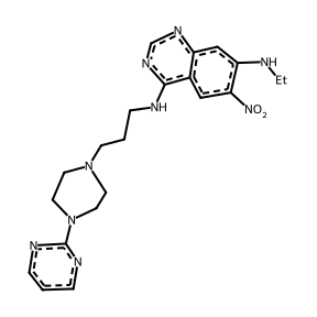 CCNc1cc2ncnc(NCCCN3CCN(c4ncccn4)CC3)c2cc1[N+](=O)[O-]